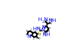 Cc1cc2ncccc2cc1SC(=N)n1nc(/C(C=N)=C/N)ccc1=N